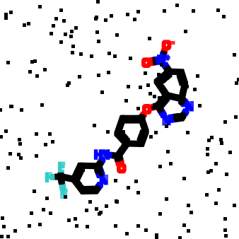 O=C(Nc1cc(C(F)(F)F)ccn1)c1ccc(Oc2ncnc3ccc([N+](=O)[O-])cc23)cc1